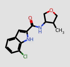 CC1COCC1NC(=O)c1cc2cccc(Cl)c2[nH]1